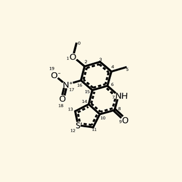 COc1cc(C)c2[nH]c(=O)c3cscc3c2c1[N+](=O)[O-]